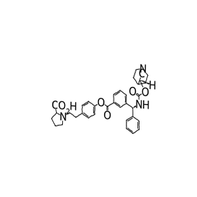 O=C(N[C@@H](c1ccccc1)c1cccc(C(=O)Oc2ccc(CCN3CCCC3C(=O)O)cc2)c1)O[C@H]1CN2CCC1CC2